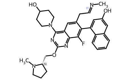 C/N=C/Cc1cc2c(N3CCC(O)CC3)nc(OC[C@@H]3CCCN3C)nc2c(F)c1-c1cc(O)cc2ccccc12